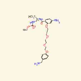 CC(C)(C)OC(=O)NC[C@H](NC(=O)c1ccc(N)cc1OCCOCCOCCOc1ccc(CN)cc1)C(=O)O